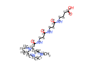 [13CH3][15N]1[13CH2][13CH2][15N]([13CH2][13CH]2[13CH2][13CH2][13CH2][15N]2[13CH2]C(=O)NCCC(=O)NCCC(=O)NCCCC(=O)O)[13CH2][13CH2]1